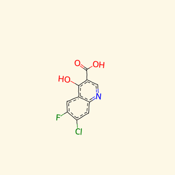 O=C(O)c1cnc2cc(Cl)c(F)cc2c1O